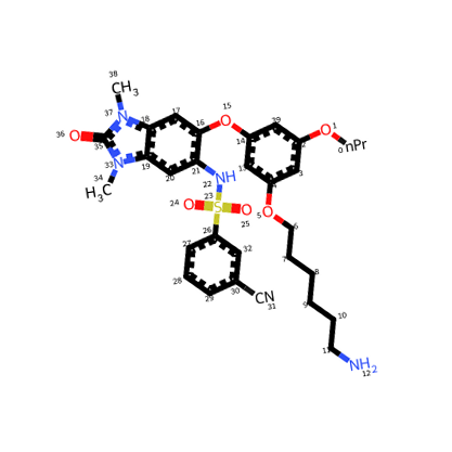 CCCOc1cc(OCCCCCCN)cc(Oc2cc3c(cc2NS(=O)(=O)c2cccc(C#N)c2)n(C)c(=O)n3C)c1